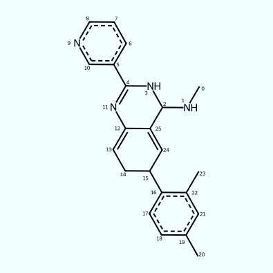 CNC1NC(c2cccnc2)=NC2=CCC(c3ccc(C)cc3C)C=C21